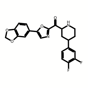 O=C(c1ncc(-c2ccc3c(c2)OCO3)o1)C1CC(c2ccc(F)c(F)c2)CCN1